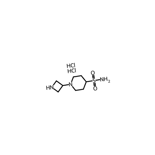 Cl.Cl.NS(=O)(=O)C1CCN(C2CNC2)CC1